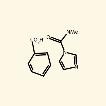 CNC(=O)n1ccnc1.O=C(O)c1ccccc1